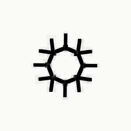 CN1[Si](C)(C)N(C)[Si](C)(C)N(C)[Si](C)(C)N(C)[Si]1(C)C